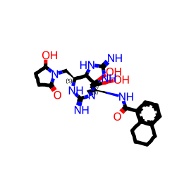 N=C1NC2[C@H](CN3C(=O)CCC3O)NC(=N)N3C[C@H](NC(=O)c4cccc5c4CCCC5)C(O)(O)[C@@]23N1